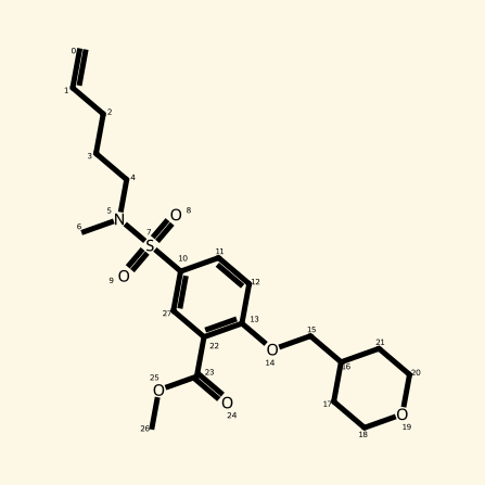 C=CCCCN(C)S(=O)(=O)c1ccc(OCC2CCOCC2)c(C(=O)OC)c1